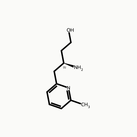 Cc1cccc(C[C@H](N)CCO)n1